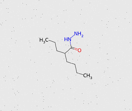 CCCCC(CCC)C(=O)NN